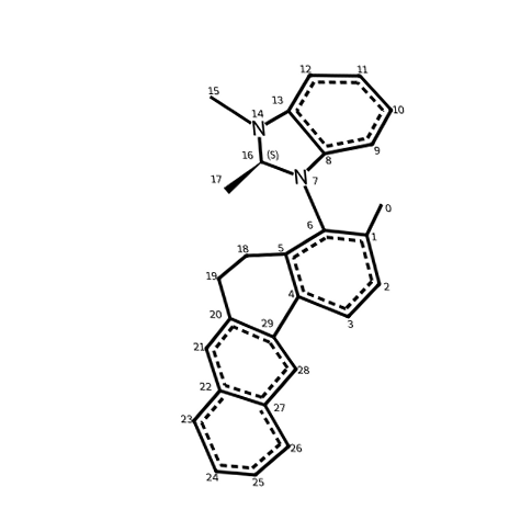 Cc1ccc2c(c1N1c3ccccc3N(C)[C@@H]1C)CCc1cc3ccccc3cc1-2